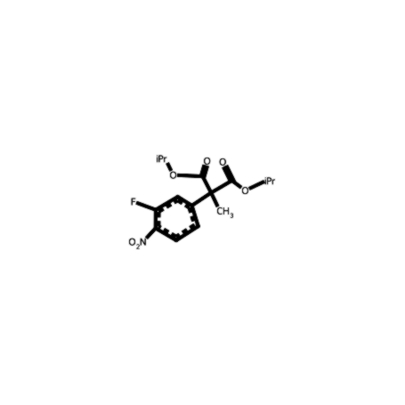 CC(C)OC(=O)C(C)(C(=O)OC(C)C)c1ccc([N+](=O)[O-])c(F)c1